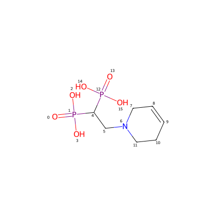 O=P(O)(O)C(CN1CC=CCC1)P(=O)(O)O